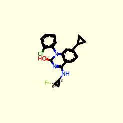 OC1N=C(N[C@H]2C[C@@H]2F)c2ccc(C3CC3)cc2N1c1ccccc1Cl